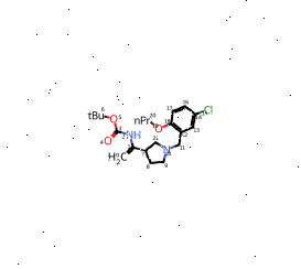 C=C(NC(=O)OC(C)(C)C)[C@@H]1CCN(Cc2cc(Cl)ccc2OCCC)C1